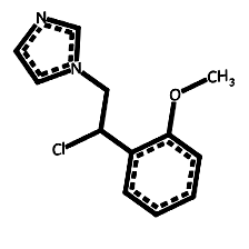 COc1ccccc1C(Cl)Cn1ccnc1